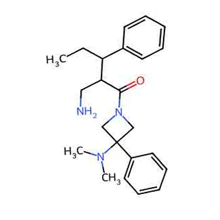 CCC(c1ccccc1)C(CN)C(=O)N1CC(c2ccccc2)(N(C)C)C1